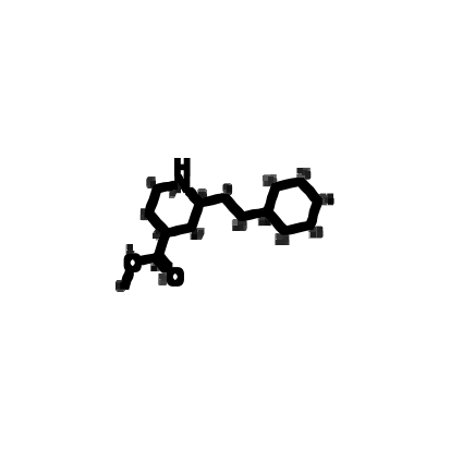 COC(=O)C1CCNC(CCC2CCCCC2)C1